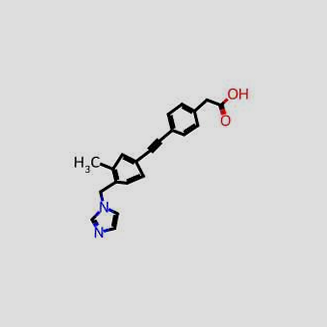 Cc1cc(C#Cc2ccc(CC(=O)O)cc2)ccc1Cn1ccnc1